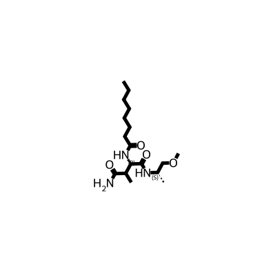 CCCCCCCC(=O)N[C@@H](C(=O)N[C@@H](C)COC)C(C)C(N)=O